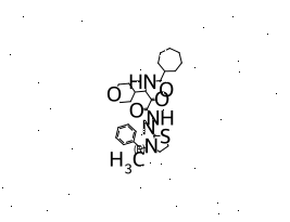 C[C@H](c1ccccc1)N1CCSC1=NNC(=O)C(=O)C(NC(=O)C1CCCCCC1)C1CCOCC1